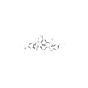 Cc1ccc2nc3c4ccc5c6c(c(C#N)cc(c(=O)n3c2c1)c46)c(=O)n1c2ccc(C(F)(F)F)cc2nc51